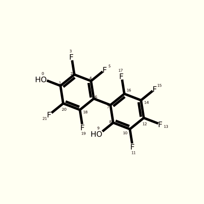 Oc1c(F)c(F)c(-c2c(O)c(F)c(F)c(F)c2F)c(F)c1F